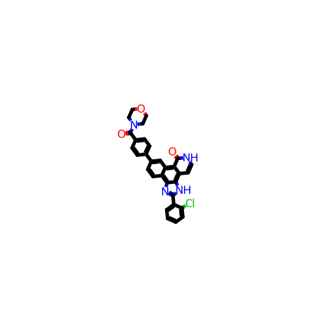 O=C(c1ccc(-c2ccc3c(c2)c2c(=O)[nH]ccc2c2[nH]c(-c4ccccc4Cl)nc32)cc1)N1CCOCC1